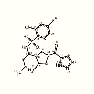 CCC[C@@H](NS(=O)(=O)c1ccc(F)cc1Cl)[C@H]1CN(C(=O)c2cnn[nH]2)C[C@H]1C